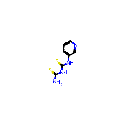 NC(=S)NC(=S)Nc1cccnc1